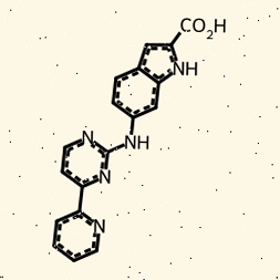 O=C(O)c1cc2ccc(Nc3nccc(-c4ccccn4)n3)cc2[nH]1